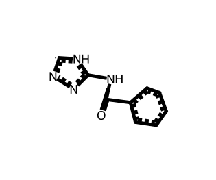 O=C(Nc1nn[c][nH]1)c1ccccc1